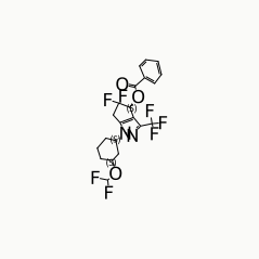 O=C(O[C@H]1c2c(C(F)(F)F)nn([C@H]3CCC[C@H](OC(F)F)C3)c2CC1(F)F)c1ccccc1